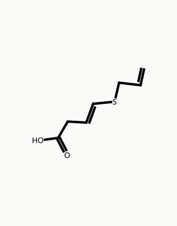 C=CCSC=CCC(=O)O